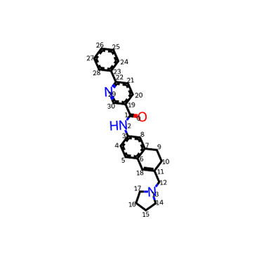 O=C(Nc1ccc2c(c1)CCC(CN1CCCC1)=C2)c1ccc(-c2ccccc2)nc1